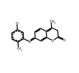 CC1=C2C=CC(=Nc3cc(Cl)ccc3C(F)(F)F)C=C2OC(=O)C1